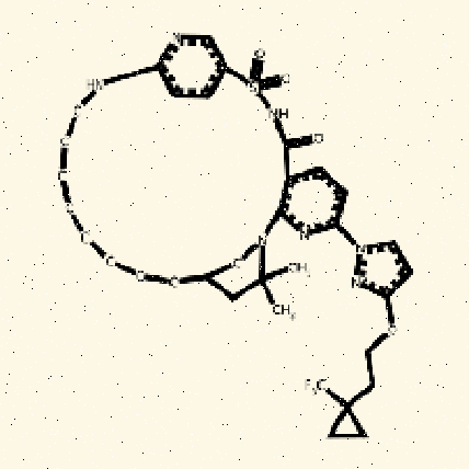 CC1(C)CC2CCCCCCCCNc3ccc(cn3)S(=O)(=O)NC(=O)c3ccc(-n4ccc(OCCC5(C(F)(F)F)CC5)n4)nc3N1C2